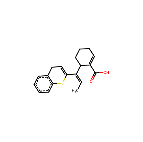 CC=C(C1=CCc2ccccc2S1)C1CCCC=C1C(=O)O